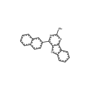 CC(C)(C)c1nc(-c2ccc3ccccc3c2)c2oc3ccccc3c2n1